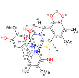 COc1cc2c(cc1O)CCN[C@]21CS[C@@H]2c3c(OC(C)=O)c(C)c4c(c3[C@H](COC1=O)N1C2C2N[C@@H](Cc3cc(C)c(OC)c(O)c32)[C@@H]1O)OCO4